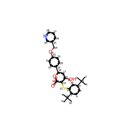 CC(C)(C)c1ccc(C(C)(C)C)c(Sc2c(O)cc(-c3ccc(OCc4cccnc4)cc3)oc2=O)c1